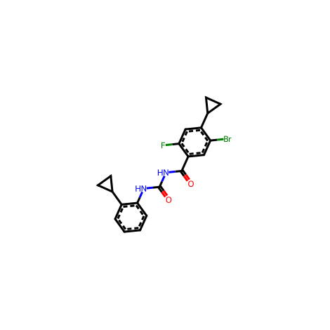 O=C(NC(=O)c1cc(Br)c(C2CC2)cc1F)Nc1ccccc1C1CC1